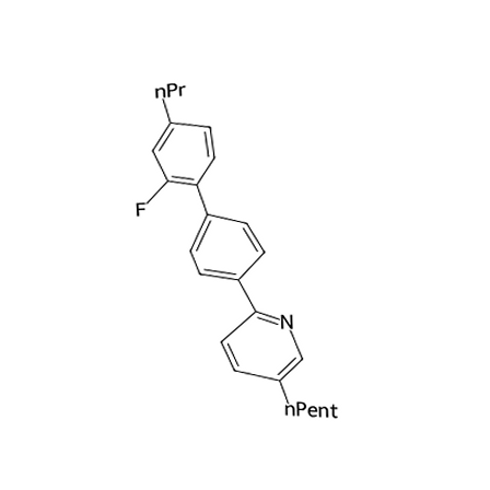 CCCCCc1ccc(-c2ccc(-c3ccc(CCC)cc3F)cc2)nc1